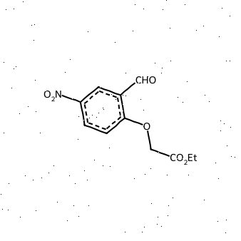 CCOC(=O)COc1ccc([N+](=O)[O-])cc1C=O